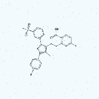 Cc1c(CCc2cc(F)ccc2C(=O)O)c(-c2cccc(S(C)(=O)=O)c2)cn1-c1ccc(F)cc1